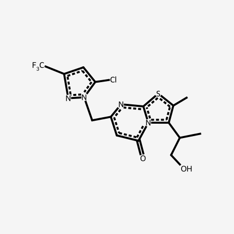 Cc1sc2nc(Cn3nc(C(F)(F)F)cc3Cl)cc(=O)n2c1C(C)CO